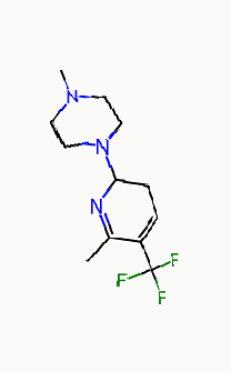 CC1=NC(N2CCN(C)CC2)CC=C1C(F)(F)F